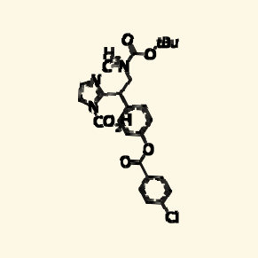 CN(CC(c1ccc(OC(=O)c2ccc(Cl)cc2)cc1)c1nccn1C(=O)O)C(=O)OC(C)(C)C